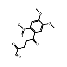 COc1cc(C(=O)CCC(N)=O)c([N+](=O)[O-])cc1OC